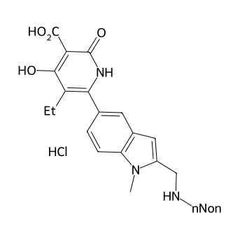 CCCCCCCCCNCc1cc2cc(-c3[nH]c(=O)c(C(=O)O)c(O)c3CC)ccc2n1C.Cl